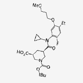 CCc1cc(F)c(N(C(=O)[C@@H]2C[C@H](C(=O)O)CN(C(=O)OC(C)(C)C)C2)C2CC2)cc1OCCCOC